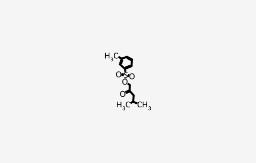 Cc1cccc(S(=O)(=O)OCC(=O)CC(C)C)c1